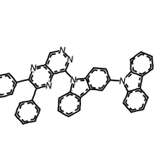 c1ccc(-c2nc3cnnc(-n4c5ccccc5c5cc(-n6c7ccccc7c7ccccc76)ccc54)c3nc2-c2ccccc2)cc1